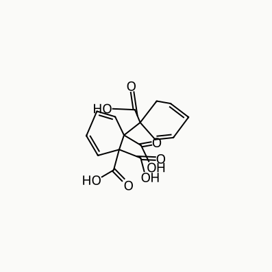 O=C(O)C1(C2(C(=O)O)C=CC=CC2(C(=O)O)C(=O)O)C=CC=CC1